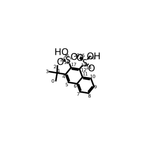 CC(C)(C)c1cc2ccccc2c(S(=O)(=O)O)c1S(=O)(=O)O